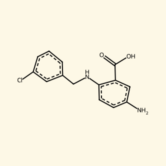 Nc1ccc(NCc2cccc(Cl)c2)c(C(=O)O)c1